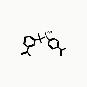 C=C(C)c1ccc(N(C(=O)O)C(C)(C)c2cccc(C(=C)C)c2)cc1